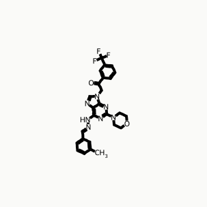 Cc1cccc(C=NNc2nc(N3CCOCC3)nc3c2ncn3CC(=O)c2cccc(C(F)(F)F)c2)c1